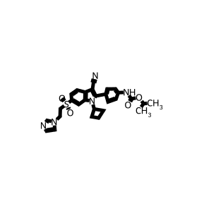 CC(C)OC(=O)Nc1ccc(-c2c(C#N)c3ccc(S(=O)(=O)CCn4ccnc4)cc3n2C2CCC2)cc1